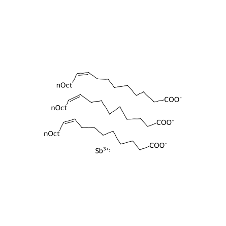 CCCCCCCC/C=C\CCCCCCCC(=O)[O-].CCCCCCCC/C=C\CCCCCCCC(=O)[O-].CCCCCCCC/C=C\CCCCCCCC(=O)[O-].[Sb+3]